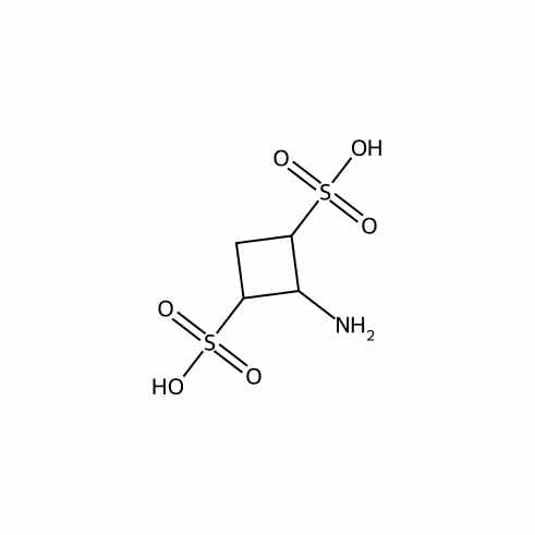 NC1C(S(=O)(=O)O)CC1S(=O)(=O)O